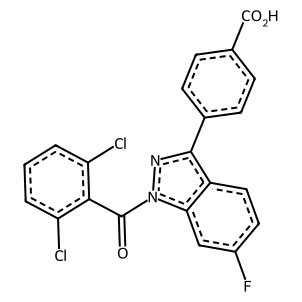 O=C(O)c1ccc(-c2nn(C(=O)c3c(Cl)cccc3Cl)c3cc(F)ccc23)cc1